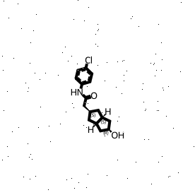 O=C(C[C@H]1C[C@H]2C[C@@H](O)C[C@H]2C1)Nc1ccc(Cl)cc1